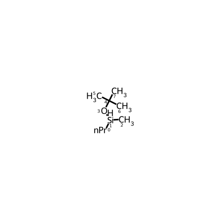 CCC[SiH](C)OC(C)(C)C